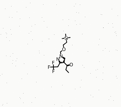 CCC(=O)c1cn(COCC[Si](C)(C)C)nc1CC(F)(F)F